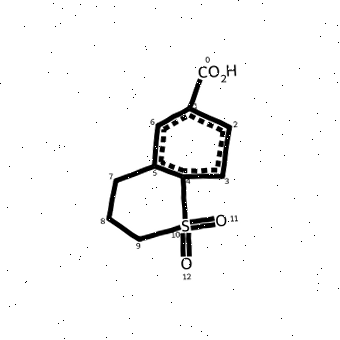 O=C(O)c1ccc2c(c1)CCCS2(=O)=O